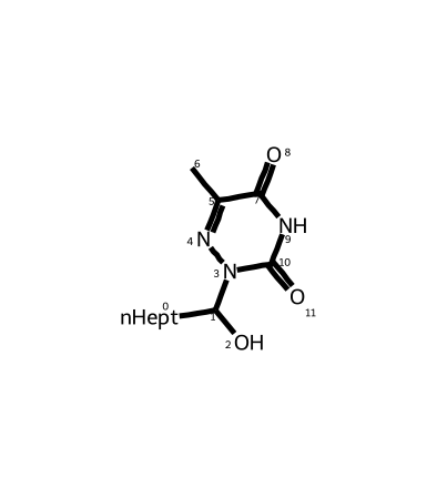 CCCCCCCC(O)n1nc(C)c(=O)[nH]c1=O